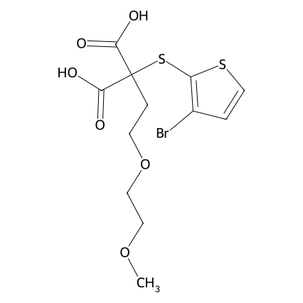 COCCOCCC(Sc1sccc1Br)(C(=O)O)C(=O)O